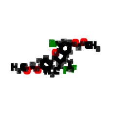 CC[C@H]1[C@@H](CC(F)F)c2cc(OCOC)cc(Br)c2O[C@H]1c1ccc(OCOC)cc1